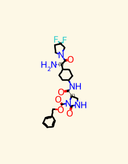 N[C@H](C(=O)N1CCC(F)(F)C1)C1CCC(NC(=O)[C@@H]2CNC(=O)N2C(=O)OCc2ccccc2)CC1